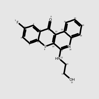 O=c1c2cc(F)ccc2sc2c(NCCO)nc3ccccc3c12